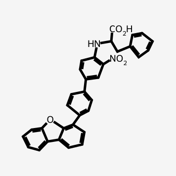 O=C(O)C(Cc1ccccc1)Nc1ccc(-c2ccc(-c3cccc4c3oc3ccccc34)cc2)cc1[N+](=O)[O-]